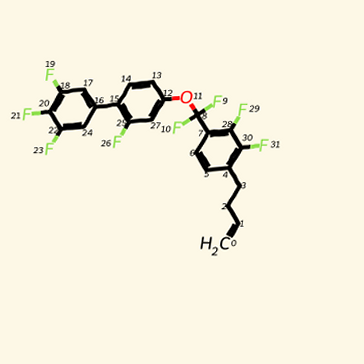 C=CCCc1ccc(C(F)(F)Oc2ccc(-c3cc(F)c(F)c(F)c3)c(F)c2)c(F)c1F